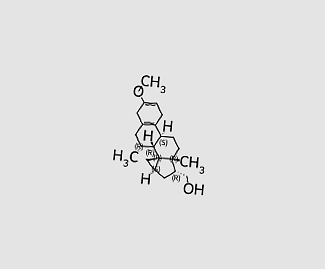 COC1=CCC2=C(C1)C[C@@H](C)[C@@H]1[C@@H]2CC[C@]2(C)[C@H](CO)C[C@H]3C[C@@]312